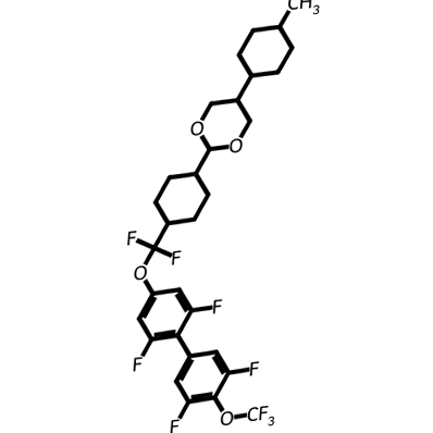 CC1CCC(C2COC(C3CCC(C(F)(F)Oc4cc(F)c(-c5cc(F)c(OC(F)(F)F)c(F)c5)c(F)c4)CC3)OC2)CC1